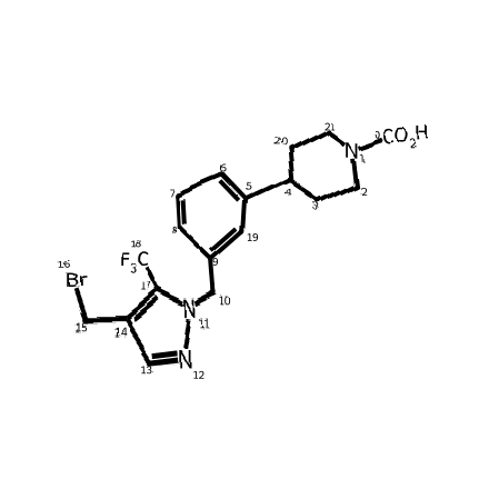 O=C(O)N1CCC(c2cccc(Cn3ncc(CBr)c3C(F)(F)F)c2)CC1